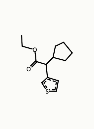 CCOC(=O)C(c1ccsc1)C1CCCC1